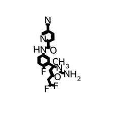 C[C@@]1(c2cc(NC(=O)c3ccc(C#N)cn3)ccc2F)C=C(CC(F)F)OC(N)=N1